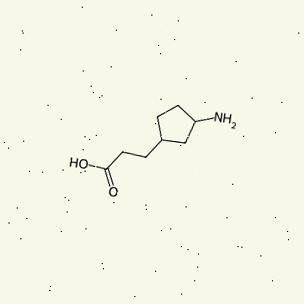 NC1CCC(CCC(=O)O)C1